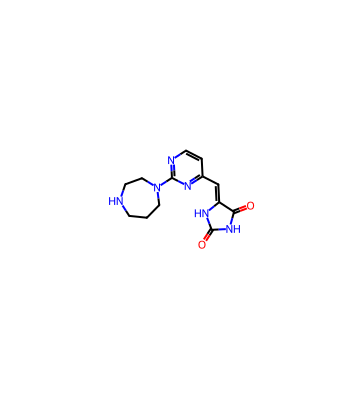 O=C1NC(=O)C(=Cc2ccnc(N3CCCNCC3)n2)N1